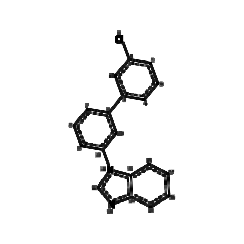 Clc1cccc(-c2cccc(-n3cnc4ccccc43)c2)c1